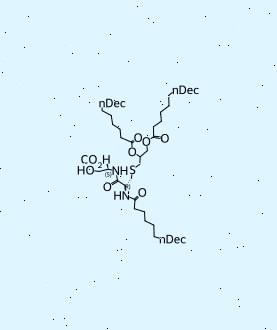 CCCCCCCCCCCCCCCC(=O)N[C@@H](CSCC(COC(=O)CCCCCCCCCCCCCCC)OC(=O)CCCCCCCCCCCCCCC)C(=O)N[C@@H](CO)C(=O)O